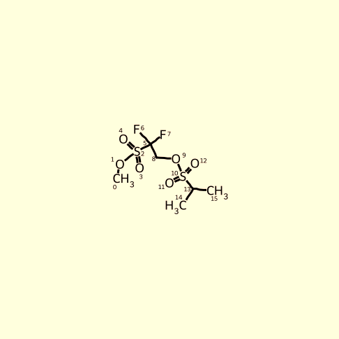 COS(=O)(=O)C(F)(F)COS(=O)(=O)C(C)C